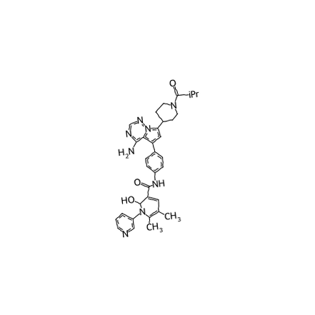 CC1=C(C)N(c2cccnc2)C(O)C(C(=O)Nc2ccc(-c3cc(C4CCN(C(=O)C(C)C)CC4)n4ncnc(N)c34)cc2)=C1